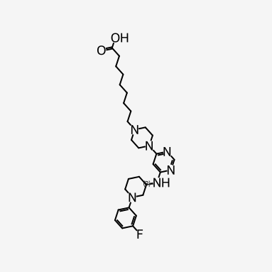 O=C(O)CCCCCCCCN1CCN(c2cc(N[C@@H]3CCCN(c4cccc(F)c4)C3)ncn2)CC1